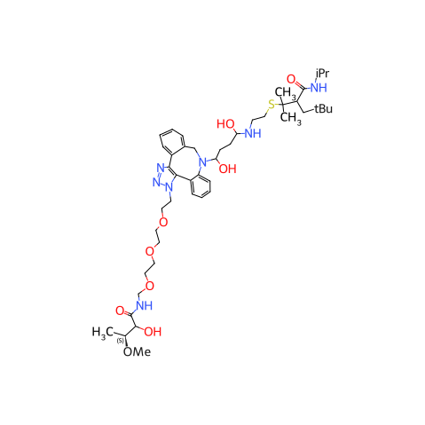 CO[C@@H](C)C(O)C(=O)NCOCCOCCOCCn1nnc2c1-c1ccccc1N(C(O)CCC(O)NCCSC(C)(C)C(CC(C)(C)C)C(=O)NC(C)C)Cc1ccccc1-2